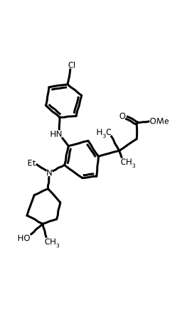 CCN(c1ccc(C(C)(C)CC(=O)OC)cc1Nc1ccc(Cl)cc1)C1CCC(C)(O)CC1